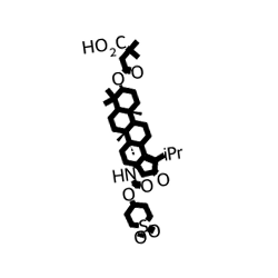 CC(C)C1=C2C3CCC4[C@@]5(C)CC[C@H](OC(=O)CC(C)(C)C(=O)O)C(C)(C)C5CC[C@@]4(C)[C@]3(C)CC[C@@]2(NC(=O)OC2CCS(=O)(=O)CC2)CC1=O